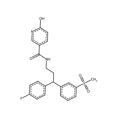 CS(=O)(=O)c1cccc(C(CCNC(=O)c2ccc(O)nc2)c2ccc(F)cc2)c1